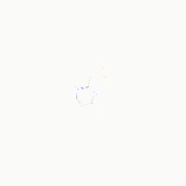 COc1ccnc(C[SH](=O)=O)n1